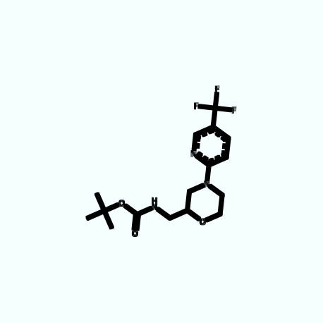 CC(C)(C)OC(=O)NCC1CN(c2ccc(C(F)(F)F)cn2)CCO1